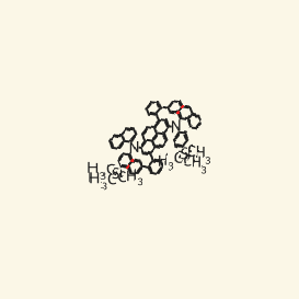 C[Si](C)(C)c1ccc(N(c2cccc3ccccc23)c2cc(-c3ccccc3-c3ccccc3)c3ccc4c(N(c5ccc([Si](C)(C)C)cc5)c5cccc6ccccc56)cc(-c5ccccc5-c5ccccc5)c5ccc2c3c54)cc1